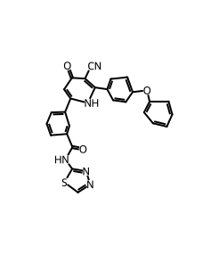 N#Cc1c(-c2ccc(Oc3ccccc3)cc2)[nH]c(-c2cccc(C(=O)Nc3nncs3)c2)cc1=O